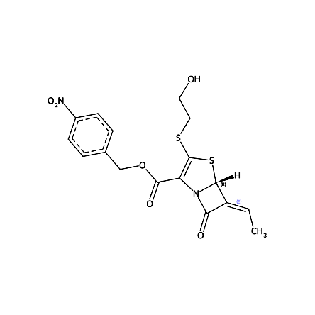 C/C=C1\C(=O)N2C(C(=O)OCc3ccc([N+](=O)[O-])cc3)=C(SCCO)S[C@H]12